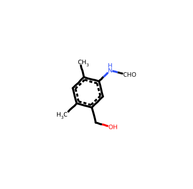 Cc1cc(C)c(NC=O)cc1CO